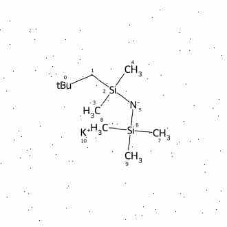 CC(C)(C)C[Si](C)(C)[N-][Si](C)(C)C.[K+]